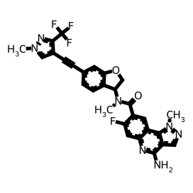 CN(C(=O)c1cc2c(cc1F)nc(N)c1cnn(C)c12)C1COc2cc(C#Cc3cn(C)nc3C(F)(F)F)ccc21